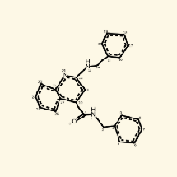 O=C(NCc1ccccc1)c1cc(NCc2ccccc2)nc2ccccc12